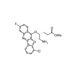 COC(=O)CC[C@H](CN)Oc1c2ccc(F)cc2nc2c1oc1c(Cl)cccc12